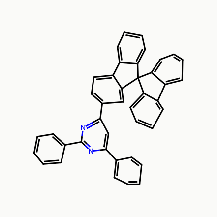 c1ccc(-c2cc(-c3ccc4c(c3)C3(c5ccccc5-c5ccccc53)c3ccccc3-4)nc(-c3ccccc3)n2)cc1